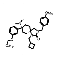 COCOc1cccc([C@]2(N(C)C)CC[C@]3(CC2)CN(Cc2ccc(OC)cc2)C(=O)N3CC2CCC2)c1